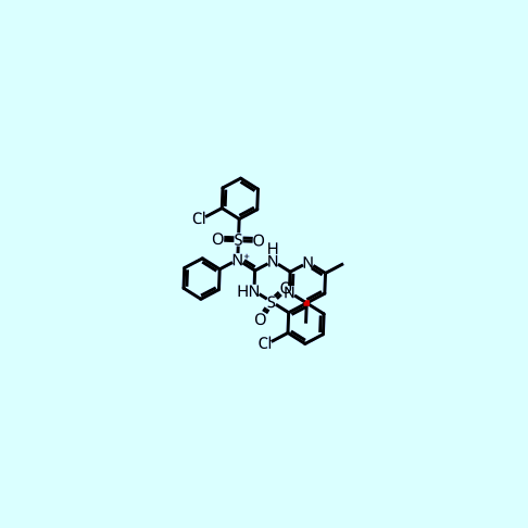 Cc1cc(C)nc(NC(NS(=O)(=O)c2ccccc2Cl)=[N+](c2ccccc2)S(=O)(=O)c2ccccc2Cl)n1